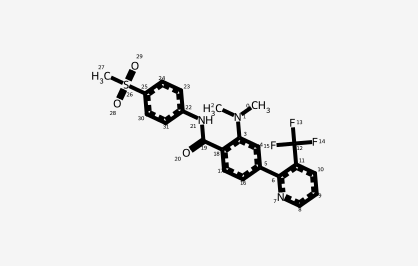 CN(C)c1cc(-c2ncccc2C(F)(F)F)ccc1C(=O)Nc1ccc(S(C)(=O)=O)cc1